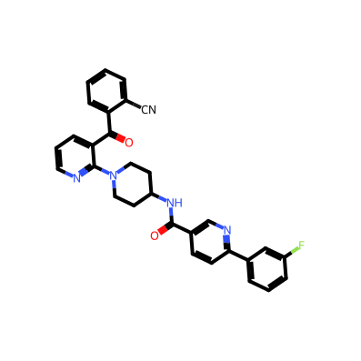 N#Cc1ccccc1C(=O)c1cccnc1N1CCC(NC(=O)c2ccc(-c3cccc(F)c3)nc2)CC1